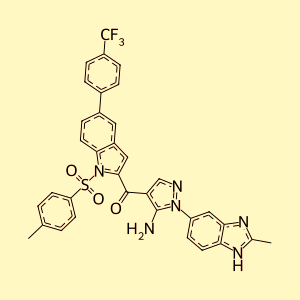 Cc1ccc(S(=O)(=O)n2c(C(=O)c3cnn(-c4ccc5[nH]c(C)nc5c4)c3N)cc3cc(-c4ccc(C(F)(F)F)cc4)ccc32)cc1